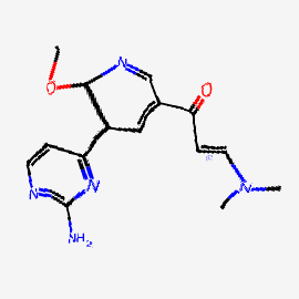 COC1N=CC(C(=O)/C=C/N(C)C)=CC1c1ccnc(N)n1